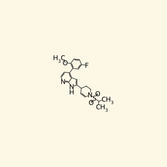 COc1ccc(F)cc1-c1ccnc2[nH]c(C3C=CN(S(=O)(=O)C(C)C)CC3)cc12